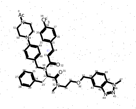 CC(=O)N1CCN(c2ccc(CN(C(=O)/C=C/c3ccc(C(F)(F)F)cc3)[C@@H](Cc3ccccc3)C(=O)N(C)CCOCc3ccc4c(c3)nnn4C)cc2)CC1